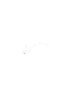 Cc1sc2c(c1C)C(c1ccc(N3CCCC4(CCN(C(=O)OC(C)(C)C)C4)C3)cc1)=N[C@@H](C)c1nnc(C)n1-2